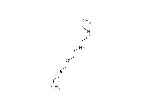 C=C/N=C\CNCCOC/C=C/CC